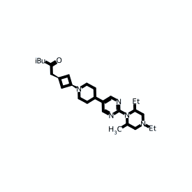 CCC(C)C(=O)C[C@H]1C[C@@H](N2CCC(c3cnc(N4C(C)CN(CC)CC4CC)nc3)CC2)C1